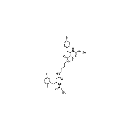 CC(C)(C)OC(=O)NC(CC(=O)NCCCCNC(=O)[C@@H](O)[C@@H](Cc1ccc(Br)cc1)NC(=O)OC(C)(C)C)Cc1cc(F)ccc1F